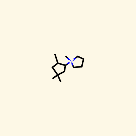 CC1CC(C)(C)CC1[N+]1(C)CCCC1